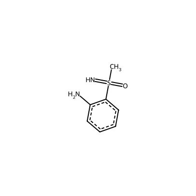 CS(=N)(=O)c1ccccc1N